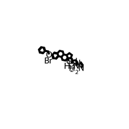 CC12CCC3c4cc(Br)c(OCc5ccccc5)cc4CCC3C1CCC2C(=O)CN(N)/C=C\N